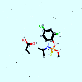 CCC(=O)O.COP(=S)(NC(C)C)Oc1ccc(Cl)cc1Cl